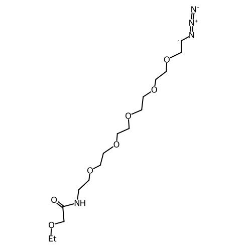 [CH2]COCC(=O)NCCOCCOCCOCCOCCOC[CH]N=[N+]=[N-]